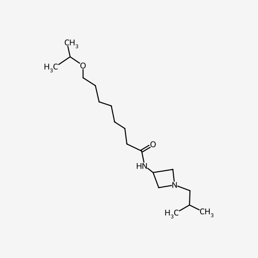 CC(C)CN1CC(NC(=O)CCCCCCCOC(C)C)C1